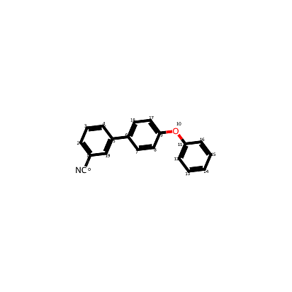 N#Cc1cc[c]c(-c2ccc(Oc3ccccc3)cc2)c1